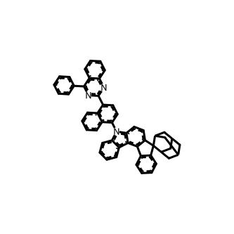 c1ccc(-c2nc(-c3ccc(-n4c5ccccc5c5c6c(ccc54)C4(c5ccccc5-6)C5CC6CC(C5)CC4C6)c4ccccc34)nc3ccccc23)cc1